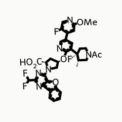 COc1cc(-c2cnc(O[C@H]3C[C@@H](C(=O)O)N(c4nc(C(F)F)nc5c4oc4ccccc45)C3)c([C@@]3(F)CCN(C(C)=O)C[C@@H]3C)c2)c(F)cn1